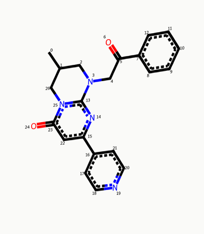 CC1CN(CC(=O)c2ccccc2)c2nc(-c3ccncc3)cc(=O)n2C1